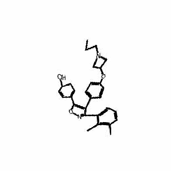 CCCN1CC(Oc2ccc(-c3c(-c4cccc(C)c4C)noc3C3=CCC(O)C=C3)cc2)C1